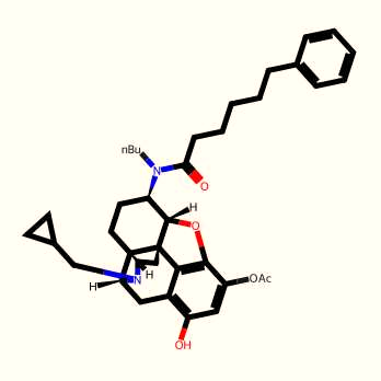 CCCCN(C(=O)CCCCCc1ccccc1)[C@@H]1CC[C@H]2[C@H]3Cc4c(O)cc(OC(C)=O)c5c4[C@@]2(CCN3CC2CC2)[C@H]1O5